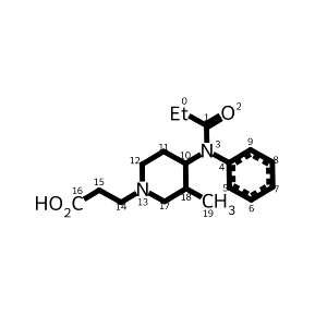 CCC(=O)N(c1ccccc1)C1CCN(CCC(=O)O)CC1C